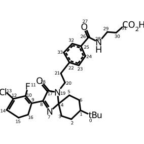 CC(C)(C)C1CCC2(CC1)N=C(C1=C(F)C(Cl)=CCC1)C(=O)N2CCc1ccc(C(=O)NCCC(=O)O)cc1